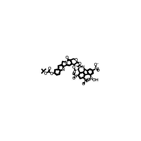 CC[C@@]1(OC(=O)[C@@H]2ON=C3c4cc([N+](=O)[O-])cc(N(O)O)c4-c4c([N+](=O)[O-])cc([N+](=O)[O-])c2c43)C(=O)OCc2c1cc1n(c2=O)Cc2cc3cc(OC(=O)OC(C)(C)C)ccc3nc2-1